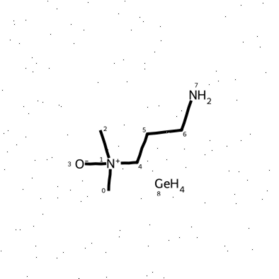 C[N+](C)([O-])CCCN.[GeH4]